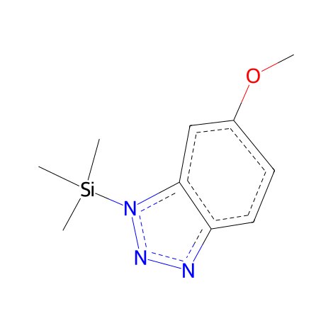 COc1ccc2nnn([Si](C)(C)C)c2c1